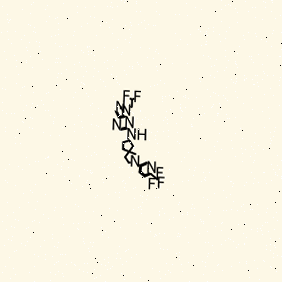 FC(F)Cn1ncc2ncc(NC3CCC4(CCN(c5ccc(C(F)(F)F)nc5)C4)C3)nc21